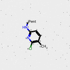 CCCC(C)Nc1ccc(C)c(Cl)n1